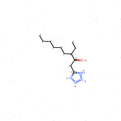 CCCCCCC(CC)C(=O)Cc1nnn[nH]1